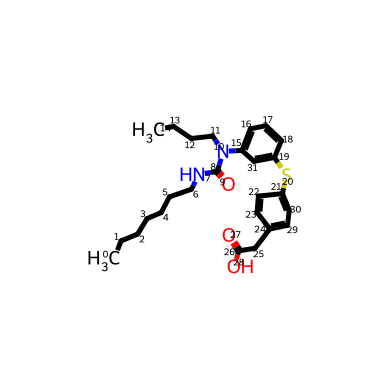 CCCCCCCNC(=O)N(CCCC)c1cccc(Sc2ccc(CC(=O)O)cc2)c1